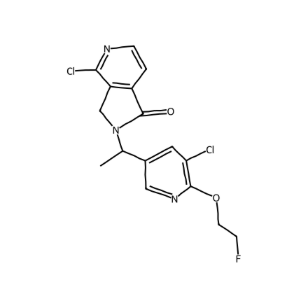 CC(c1cnc(OCCF)c(Cl)c1)N1Cc2c(ccnc2Cl)C1=O